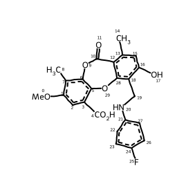 COc1cc(C(=O)O)c2c(c1C)OC(=O)c1c(C)cc(O)c(CNc3ccc(F)cc3)c1O2